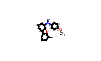 Cc1cccc2c1oc1c(N(C)c3ccc(OC(F)(F)F)cc3)cccc12